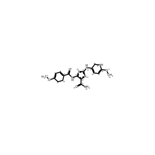 COC1=CC=C(C(=O)Nc2sc(NC3=CC=C(OC)NC3)nc2C(N)=O)CC1